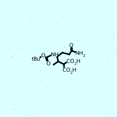 CC(C(CCC(N)=O)NC(=O)OC(C)(C)C)C(C(=O)O)C(=O)O